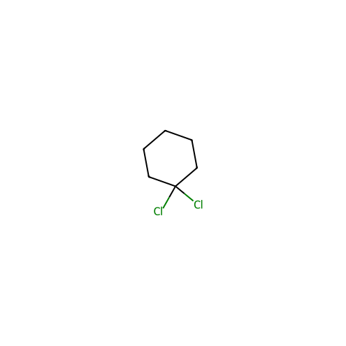 ClC1(Cl)CCCCC1